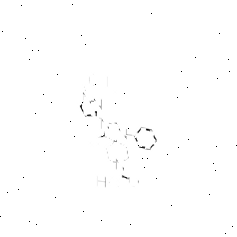 CCn1ccc(N2CN(c3ccccc3)C3(CCN(C(=O)O)CC3)C2=O)n1